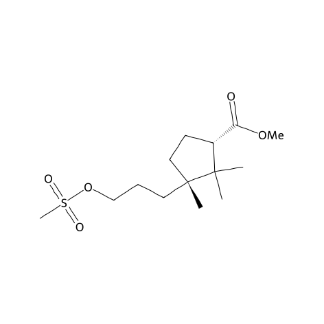 COC(=O)[C@H]1CC[C@@](C)(CCCOS(C)(=O)=O)C1(C)C